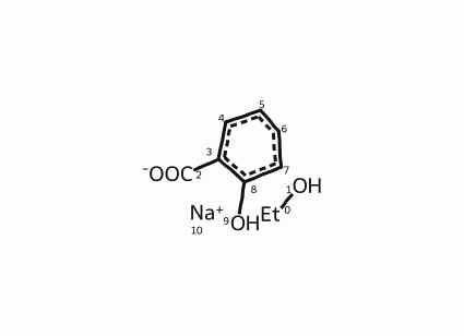 CCO.O=C([O-])c1ccccc1O.[Na+]